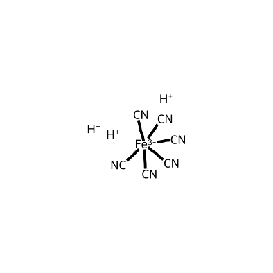 N#[C][Fe-3]([C]#N)([C]#N)([C]#N)([C]#N)[C]#N.[H+].[H+].[H+]